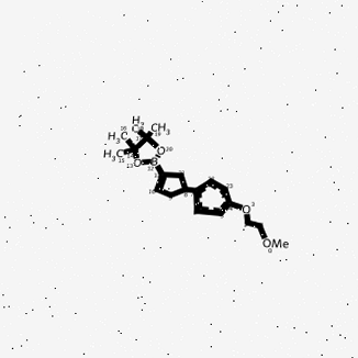 COCCOc1ccc(C2CC=C(B3OC(C)(C)C(C)(C)O3)C2)cc1